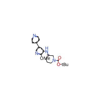 COc1ncc(-c2ccncc2)cc1N[C@@H]1CCCN(C(=O)OC(C)(C)C)C1